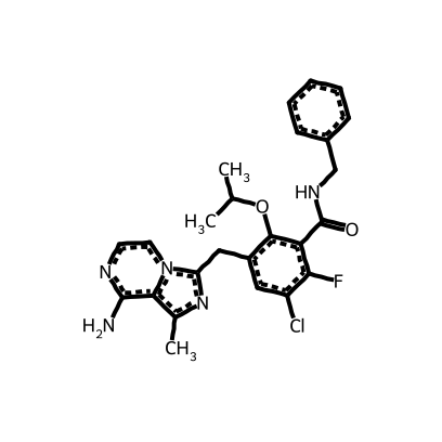 Cc1nc(Cc2cc(Cl)c(F)c(C(=O)NCc3ccccc3)c2OC(C)C)n2ccnc(N)c12